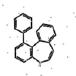 C1=Cc2ccccc2-c2c(cccc2-c2ccccc2)N1